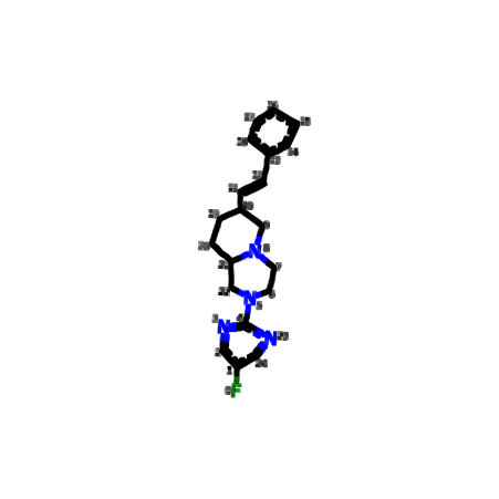 Fc1cnc(N2CCN3CC(C=Cc4ccccc4)CCC3C2)nc1